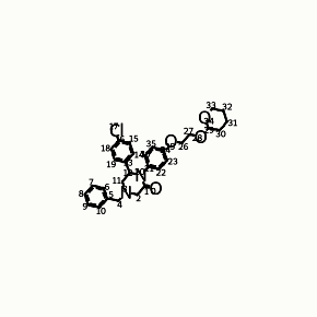 O=C1CN(Cc2ccccc2)CC(c2ccc(Cl)cc2)N1c1ccc(OCCOC2CCCCO2)cc1